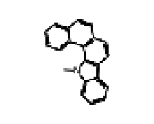 Cn1c2ccccc2c2ccc3ccc4ccccc4c3c21